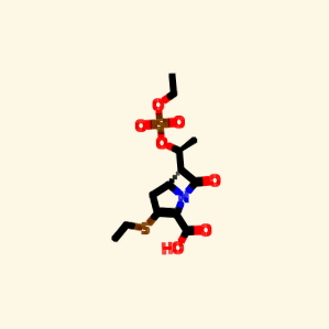 CCOS(=O)(=O)O[C@@H](C)[C@@H]1C(=O)N2C(C(=O)O)=C(SCC)CC12